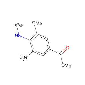 CCC[CH]Nc1c(OC)cc(C(=O)OC)cc1[N+](=O)[O-]